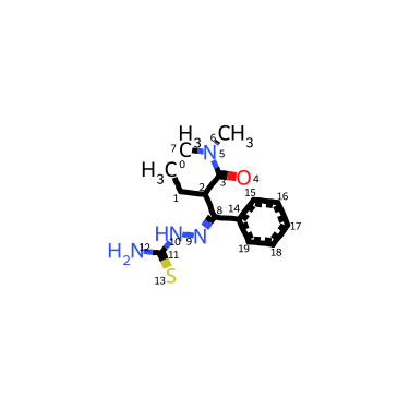 CCC(C(=O)N(C)C)C(=NNC(N)=S)c1ccccc1